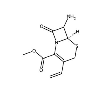 C=CC1=C(C(=O)OC)N2C(=O)C(N)[C@H]2SC1